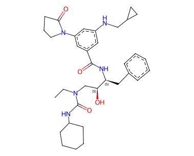 CCN(C[C@H](O)[C@H](Cc1ccccc1)NC(=O)c1cc(NCC2CC2)cc(N2CCCC2=O)c1)C(=O)NC1CCCCC1